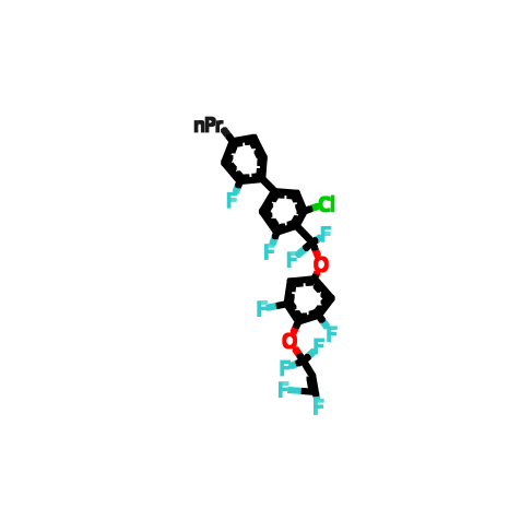 CCCc1ccc(-c2cc(F)c(C(F)(F)Oc3cc(F)c(OC(F)(F)C=C(F)F)c(F)c3)c(Cl)c2)c(F)c1